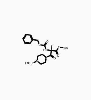 CCOC(=O)N1CCN(C(=O)[C@](C)(NC(=O)OCc2ccccc2)C(=O)OC(C)(C)C)CC1